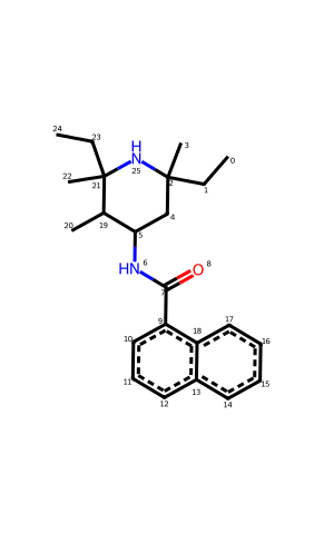 CCC1(C)CC(NC(=O)c2cccc3ccccc23)C(C)C(C)(CC)N1